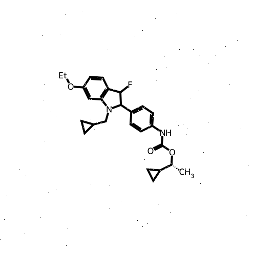 CCOc1ccc2c(c1)N(CC1CC1)C(c1ccc(NC(=O)O[C@H](C)C3CC3)cc1)C2F